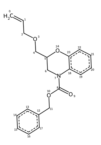 C=CCOCC1CN(C(=O)OCc2ccccc2)c2ccccc2O1